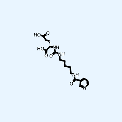 O=C(O)CC[C@H](NC(=O)NCCCCCNC(=O)c1cccnc1)C(=O)O